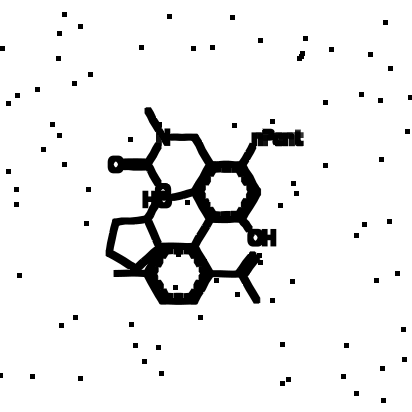 C=C(C)c1ccc(C)cc1-c1c(O)cc(CCCCC)c(CN(C)C(=O)OC2CCCC2)c1O